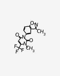 Cc1noc2ccc(-n3c(=O)cc(C(F)(F)F)n(C)c3=O)cc12